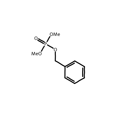 COP(=O)(OC)OCc1ccccc1